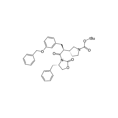 CC(C)(C)OC(=O)N1CC[C@H]([C@H](Cc2cccc(OCc3ccccc3)c2)C(=O)N2C(=O)OC[C@@H]2Cc2ccccc2)C1